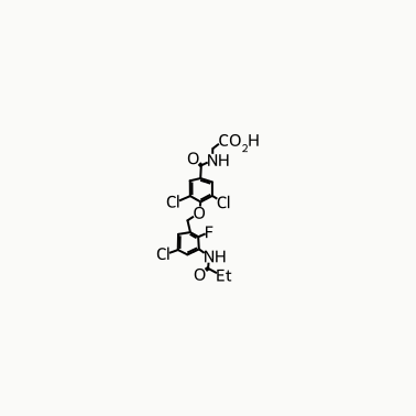 CCC(=O)Nc1cc(Cl)cc(COc2c(Cl)cc(C(=O)NCC(=O)O)cc2Cl)c1F